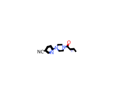 C/C=C/C(=O)N1CCN(c2ccc(C#N)cn2)CC1